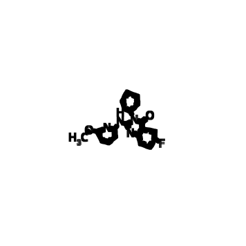 COc1cccc(Nc2nc3ccc(F)cc3c(=O)n2-c2ccccc2)n1